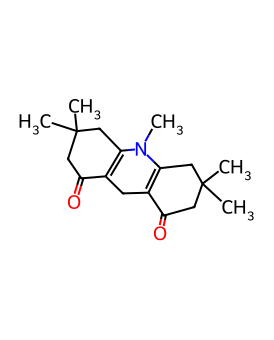 CN1C2=C(CC3=C1CC(C)(C)CC3=O)C(=O)CC(C)(C)C2